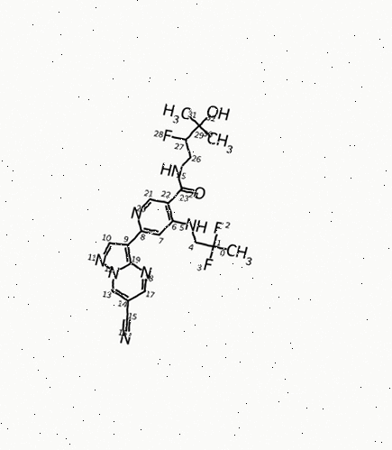 CC(F)(F)CNc1cc(-c2cnn3cc(C#N)cnc23)ncc1C(=O)NCC(F)C(C)(C)O